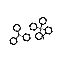 CCc1ccccc1[B-](c1ccccc1)(c1ccccc1)c1ccccc1.c1ccc(P(c2ccccc2)c2ccccc2)cc1